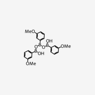 COc1cccc(B(O)OB(OB(O)c2cccc(OC)c2)c2cccc(OC)c2)c1